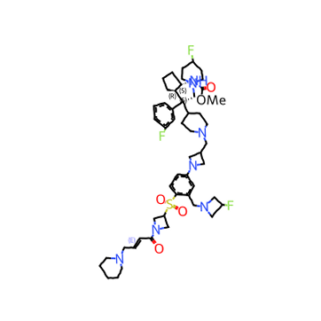 COC(=O)N[C@H]1CCC[C@@H]1[C@](CN1CCC(F)CC1)(c1cccc(F)c1)C1CCN(CC2CN(c3ccc(S(=O)(=O)C4CN(C(=O)/C=C/CN5CCCCC5)C4)c(CN4CC(F)C4)c3)C2)CC1